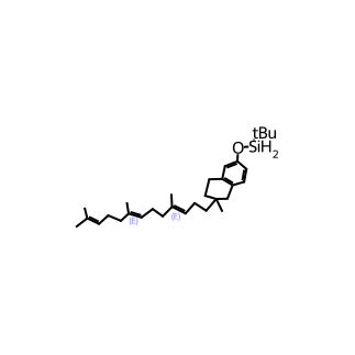 CC(C)=CCC/C(C)=C/CC/C(C)=C/CCC1(C)CCc2cc(O[SiH2]C(C)(C)C)ccc2C1